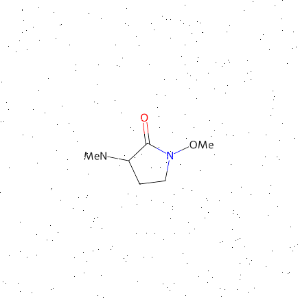 CNC1CCN(OC)C1=O